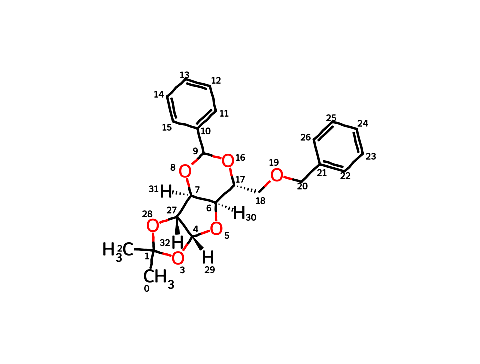 CC1(C)O[C@H]2O[C@H]3[C@H](OC(c4ccccc4)O[C@@H]3COCc3ccccc3)[C@H]2O1